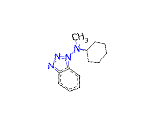 CN(C1CCCCC1)n1nnc2ccccc21